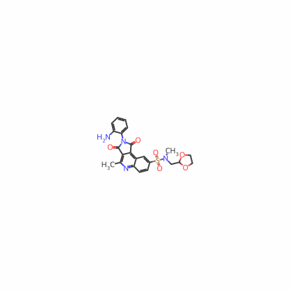 Cc1nc2ccc(S(=O)(=O)N(C)CC3OCCO3)cc2c2c1C(=O)N(c1ccccc1N)C2=O